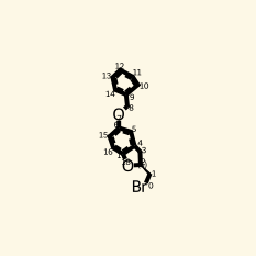 BrC[C@@H]1Cc2cc(OCc3ccccc3)ccc2O1